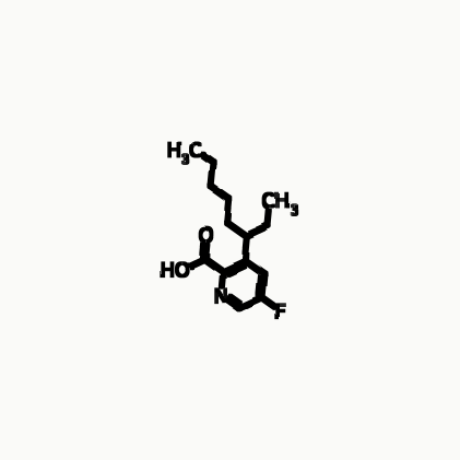 CCCCCC(CC)c1cc(F)cnc1C(=O)O